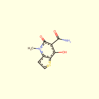 Cn1c(=O)c(C(N)=O)c(O)c2sccc21